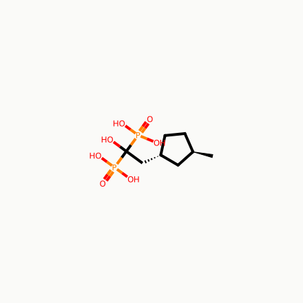 C[C@@H]1CC[C@@H](CC(O)(P(=O)(O)O)P(=O)(O)O)C1